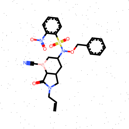 C=CCN1CC2CC(N(OCc3ccccc3)S(=O)(=O)c3ccccc3[N+](=O)[O-])CB(C#N)C2C1=O